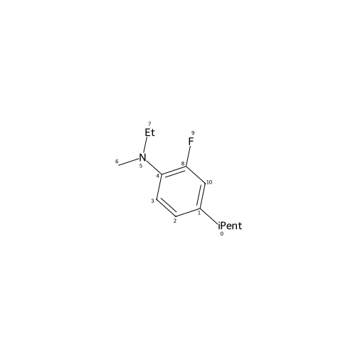 CCCC(C)c1ccc(N(C)CC)c(F)c1